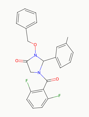 Cc1cccc(C2N(C(=O)c3c(F)cccc3F)CC(=O)N2OCc2ccccc2)c1